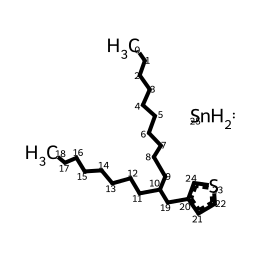 CCCCCCCCCCC(CCCCCCCC)Cc1ccsc1.[SnH2]